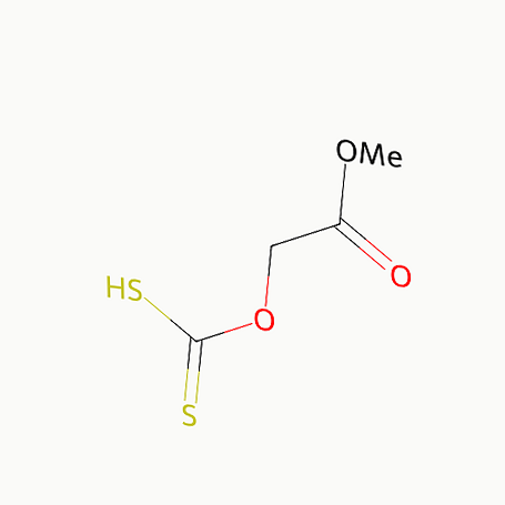 COC(=O)COC(=S)S